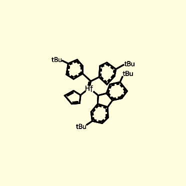 CC(C)(C)c1ccc([C](c2ccc(C(C)(C)C)cc2)=[Hf]([CH]2C=CC=C2)[CH]2c3cc(C(C)(C)C)ccc3-c3ccc(C(C)(C)C)cc32)cc1